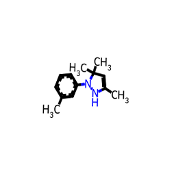 CC1=CC(C)(C)N(c2cccc(C)c2)N1